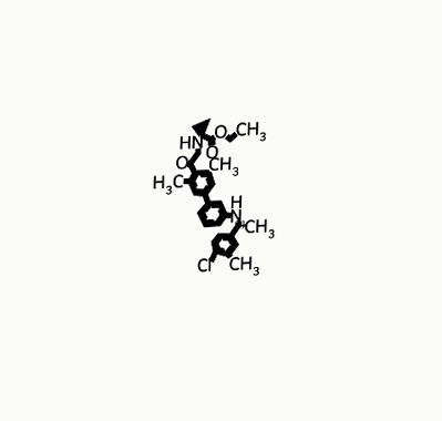 CCOC(=O)C1(NCC(=O)c2c(C)cc(-c3cccc(N[C@H](C)c4ccc(Cl)c(C)c4)c3)cc2C)CC1